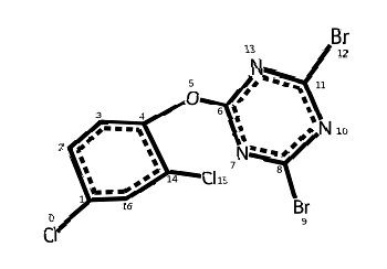 Clc1ccc(Oc2nc(Br)nc(Br)n2)c(Cl)c1